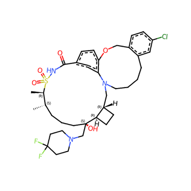 C[C@@H]1[C@@H](C)CCC[C@@](O)(CN2CCC(F)(F)CC2)[C@@H]2CC[C@H]2CN2CCCCc3cc(Cl)ccc3COc3ccc(cc32)C(=O)NS1(=O)=O